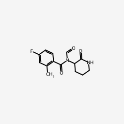 Cc1cc(F)ccc1C(=O)N(C=O)C1CCCNC1=O